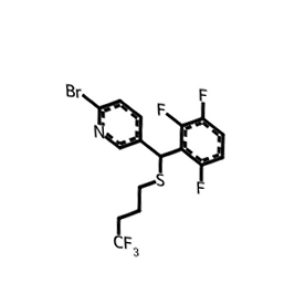 Fc1ccc(F)c(C(SCCCC(F)(F)F)c2ccc(Br)nc2)c1F